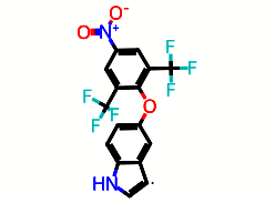 O=[N+]([O-])c1cc(C(F)(F)F)c(Oc2ccc3[nH]c[c]c3c2)c(C(F)(F)F)c1